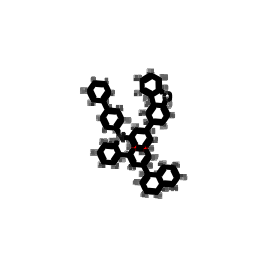 c1ccc(-c2ccc(N(c3cccc(-c4ccc5oc6ccccc6c5c4)c3)c3ccccc3-c3cccc(-c4cccc5ccccc45)c3)cc2)cc1